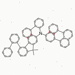 CC1(C)c2cc(N(c3ccc(-c4cccc5cccc(-c6ccccc6)c45)cc3)c3ccccc3-c3ccccc3)ccc2-c2c(-c3ccccc3-c3ccccc3)cccc21